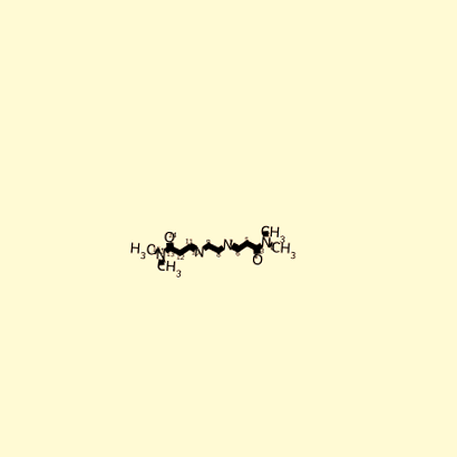 CN(C)C(=O)CC=NCCN=CCC(=O)N(C)C